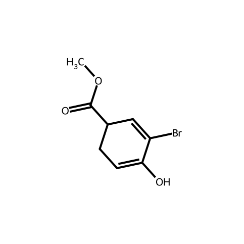 COC(=O)C1C=C(Br)C(O)=CC1